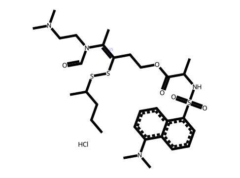 CCCC(C)SS/C(CCOC(=O)C(C)NS(=O)(=O)c1cccc2c(N(C)C)cccc12)=C(/C)N(C=O)CCN(C)C.Cl